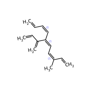 C=C\C=C/C(=C/C=C(/C)C=C)C(=C)C=C